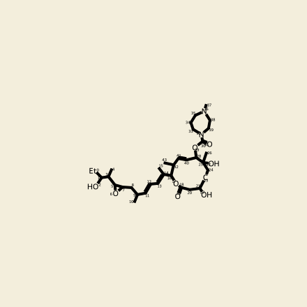 CCC(O)C(C)C1OC1CC(C)/C=C/C=C(\C)C1OC(=O)CC(O)CCC(C)(O)C(OC(=O)N2CCCN(C)CC2)/C=C/C1C